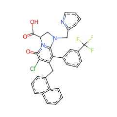 O=C(O)C1CN(Cc2ccccn2)c2c(-c3cccc(C(F)(F)F)c3)c(Cc3cccc4ccccc34)c(Cl)c(=O)n21